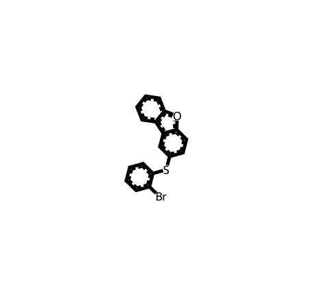 Brc1ccccc1Sc1ccc2oc3ccccc3c2c1